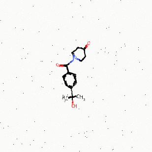 CC(C)(O)c1ccc(C(=O)N2CCC(=O)CC2)cc1